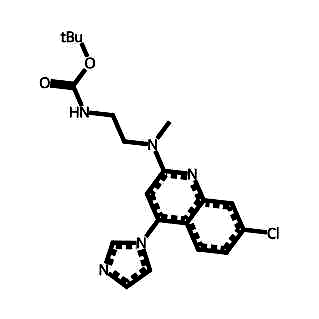 CN(CCNC(=O)OC(C)(C)C)c1cc(-n2ccnc2)c2ccc(Cl)cc2n1